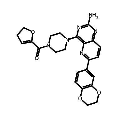 Nc1nc(N2CCN(C(=O)C3=CCCO3)CC2)c2nc(-c3ccc4c(c3)OCCO4)ccc2n1